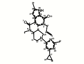 C=CCn1cc(C(=O)N(C)C2CCN(c3cc(C4CC4)nc(C)n3)CC2)c2cc(C)[nH]c2c1=O